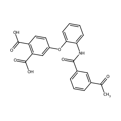 CC(=O)c1cccc(C(=O)Nc2ccccc2Oc2ccc(C(=O)O)c(C(=O)O)c2)c1